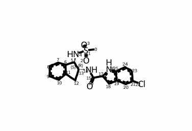 CS(=O)(=O)N[C@H]1c2ccccc2C[C@H]1NC(=O)c1cc2cc(Cl)ccc2[nH]1